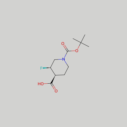 CC(C)(C)OC(=O)N1CC[C@@H](C(=O)O)[C@@H](F)C1